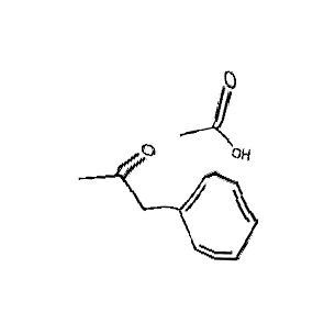 CC(=O)Cc1ccccc1.CC(=O)O